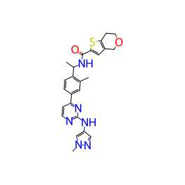 Cc1cc(-c2ccnc(Nc3cnn(C)c3)n2)ccc1C(C)NC(=O)c1cc2c(s1)CCOC2